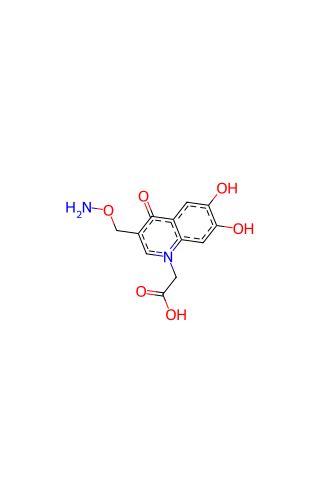 NOCc1cn(CC(=O)O)c2cc(O)c(O)cc2c1=O